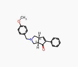 COc1ccc(CN2C[C@@H]3C=C(c4ccccc4)C(=O)[C@@H]3C2)cc1